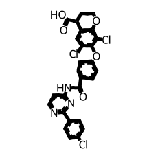 O=C(Nc1ccnc(-c2ccc(Cl)cc2)n1)c1ccc(Oc2c(Cl)cc3c(c2Cl)OCCC3C(=O)O)cc1